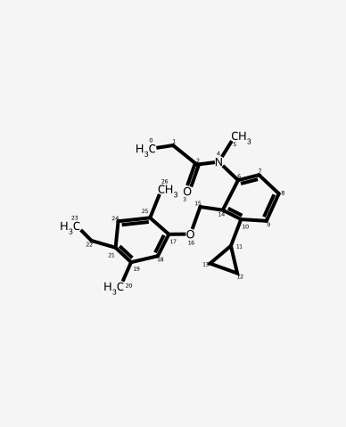 CCC(=O)N(C)c1cccc(C2CC2)c1COc1cc(C)c(CC)cc1C